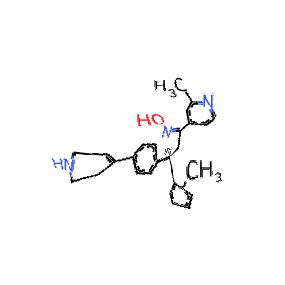 Cc1cc(C(C[C@H](c2ccc(C3=CCNCC3)cc2)c2ccccc2C)=NO)ccn1